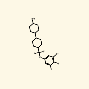 CCCC1CCC(C2CCC(C(F)(F)Oc3cc(F)c(F)c(CC)c3)CC2)CC1